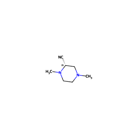 CN1CCN(C)[C@H](C#N)C1